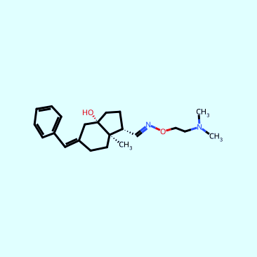 CN(C)CCO/N=C/[C@H]1CC[C@]2(O)C/C(=C\c3ccccc3)CC[C@]12C